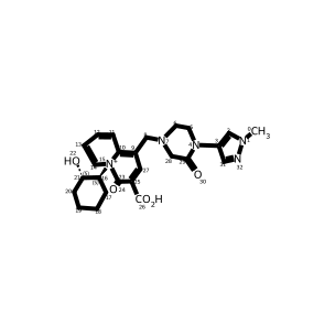 Cn1cc(N2CCN(CC3=C4C=CC=C[N+]4([C@H]4CCCC[C@@H]4O)C(=O)C(C(=O)O)=C3)CC2=O)cn1